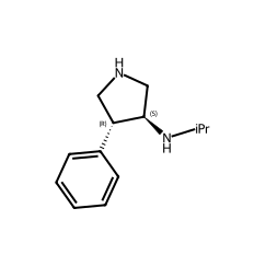 CC(C)N[C@@H]1CNC[C@H]1c1ccccc1